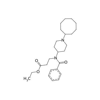 CCOC(=O)CCN(C(=O)c1ccccc1)C1CCN(C2CCCCCCC2)CC1